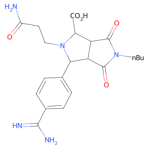 CCCCN1C(=O)C2C(C1=O)C(c1ccc(C(=N)N)cc1)N(CCC(N)=O)C2C(=O)O